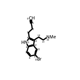 C#CCCc1[nH]c2ccc(Br)cc2c1CCNC